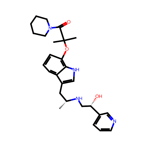 C[C@H](Cc1c[nH]c2c(OC(C)(C)C(=O)N3CCCCC3)cccc12)NC[C@H](O)c1cccnc1